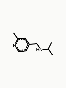 Cc1cc(CNC(C)C)ccn1